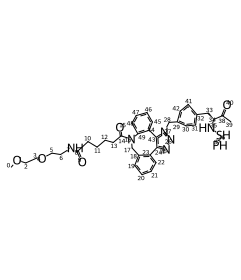 COCCOCCNC(=O)CCCCC(=O)N1Cc2ccccc2-c2nnn(Cc3ccc(C[C@H](N[SH]=P)C(C)=O)cc3)c2-c2ccccc21